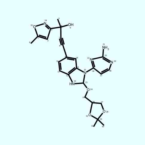 Cc1cc(C(C)(O)C#Cc2ccc3c(c2)N(c2ccnc(N)n2)C(OCC2COC(C)(C)O2)N3)no1